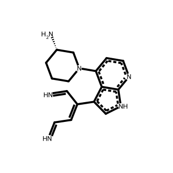 N=C/C=C(\C=N)c1c[nH]c2nccc(N3CCC[C@H](N)C3)c12